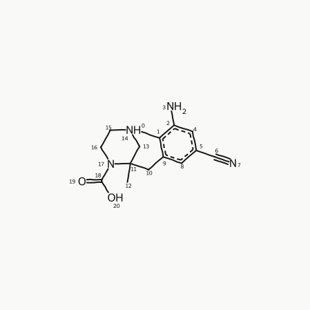 Cc1c(N)cc(C#N)cc1CC1(C)CNCCN1C(=O)O